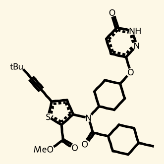 COC(=O)c1sc(C#CC(C)(C)C)cc1N(C(=O)C1CCC(C)CC1)C1CCC(Oc2ccc(=O)[nH]n2)CC1